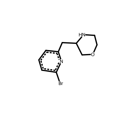 Brc1cccc(CC2COCCN2)n1